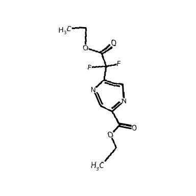 CCOC(=O)c1cnc(C(F)(F)C(=O)OCC)cn1